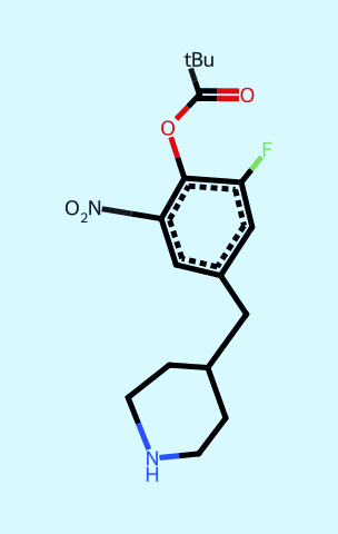 CC(C)(C)C(=O)Oc1c(F)cc(CC2CCNCC2)cc1[N+](=O)[O-]